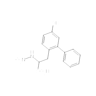 O=C(O)C(Cc1ccc(O)cc1-c1ccccc1)N[N+](=O)[O-]